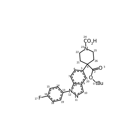 CC(C)(C)OC(=O)C1(c2ccc3c(cnn3-c3ccc(F)cc3)c2)CCN(C(=O)O)CC1